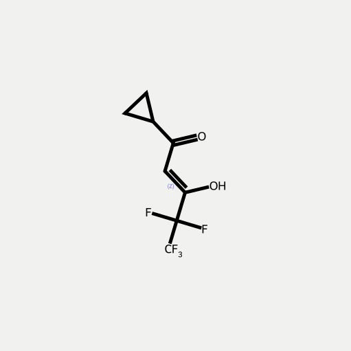 O=C(/C=C(\O)C(F)(F)C(F)(F)F)C1CC1